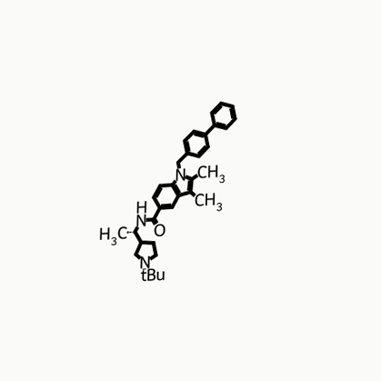 Cc1c(C)n(Cc2ccc(-c3ccccc3)cc2)c2ccc(C(=O)N[C@@H](C)C3CCN(C(C)(C)C)C3)cc12